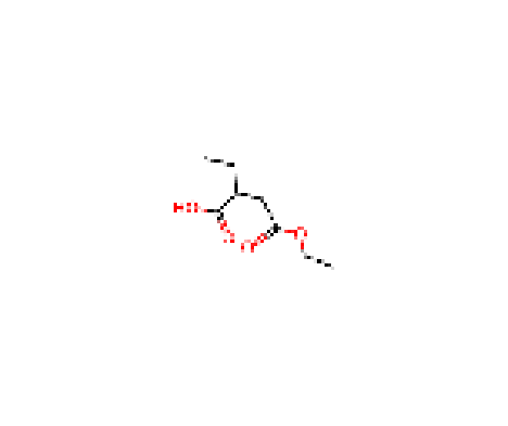 CCOC(=O)C[C](CC)C(=O)O